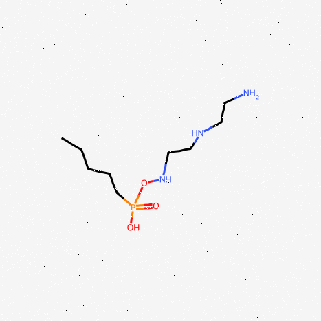 CCCCCP(=O)(O)ONCCNCCN